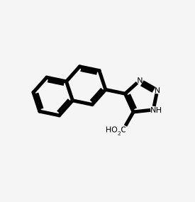 O=C(O)c1[nH]nnc1-c1ccc2ccccc2c1